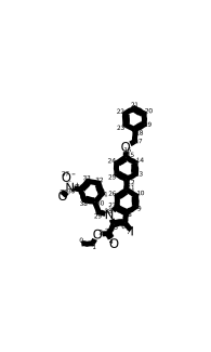 CCOC(=O)c1c(I)c2ccc(-c3ccc(OCc4ccccc4)cc3)cc2n1Cc1cccc([N+](=O)[O-])c1